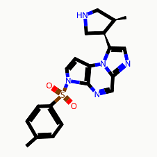 Cc1ccc(S(=O)(=O)n2ccc3c2ncc2ncc([C@H]4CNC[C@H]4C)n23)cc1